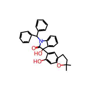 CC1(C)CCc2cc(C3(O)C(=O)N(C(c4ccccc4)c4ccccc4)c4ccccc43)c(O)cc2O1